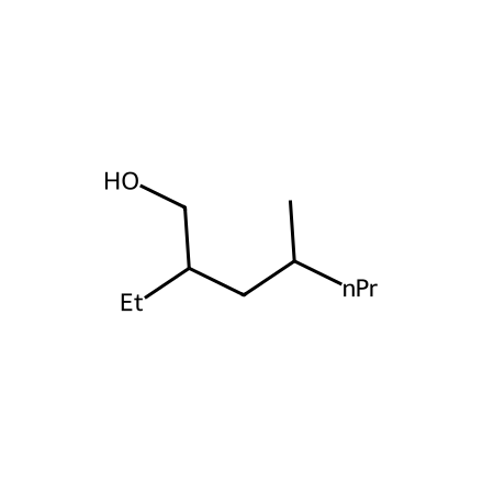 CCCC(C)CC(CC)CO